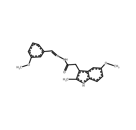 COc1cccc(C=NNC(=O)Cc2c(C)[nH]c3ccc(OC)cc23)c1